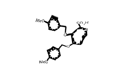 COc1ccc(COc2ccnc(C(=O)O)c2OCc2ccc(OC)cc2)cc1